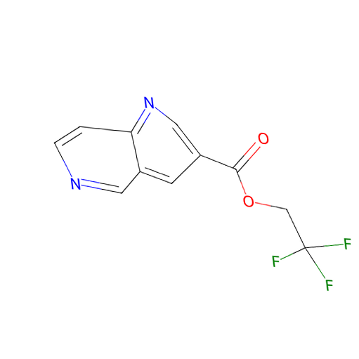 O=C(OCC(F)(F)F)c1cnc2ccncc2c1